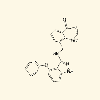 O=c1cc[nH]c2c(CNc3n[nH]c4cccc(Oc5ccccc5)c34)cccc12